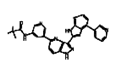 CC(C)(C)C(=O)Nc1cncc(-c2ccc3[nH]nc(-c4cc5c(-c6cccnc6)cccc5[nH]4)c3n2)c1